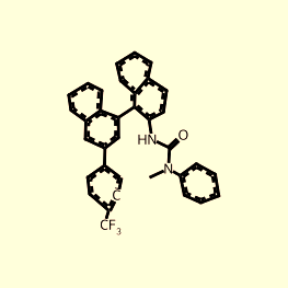 CN(C(=O)Nc1ccc2ccccc2c1-c1cc(-c2ccc(C(F)(F)F)cc2)cc2ccccc12)c1ccccc1